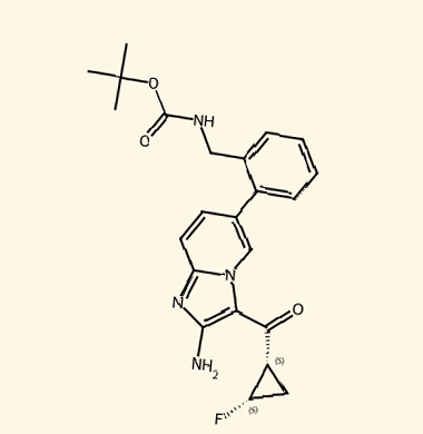 CC(C)(C)OC(=O)NCc1ccccc1-c1ccc2nc(N)c(C(=O)[C@@H]3C[C@@H]3F)n2c1